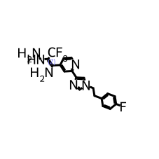 NN/C(=C(\N)c1ccnc(-c2cn(CCc3ccc(F)cc3)cn2)c1)C(F)(F)F